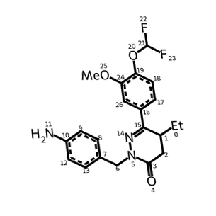 CCC1CC(=O)N(Cc2ccc(N)cc2)N=C1c1ccc(OC(F)F)c(OC)c1